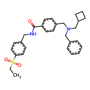 CCS(=O)(=O)c1ccc(CNC(=O)c2ccc(CN(Cc3ccccc3)CC3CCC3)cc2)cc1